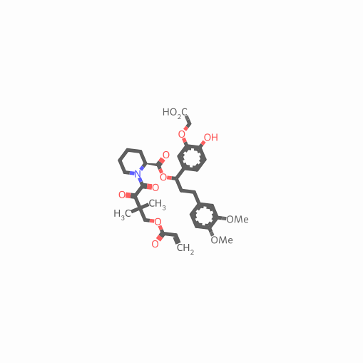 C=CC(=O)OCC(C)(C)C(=O)C(=O)N1CCCC[C@H]1C(=O)OC(CCc1ccc(OC)c(OC)c1)c1ccc(O)c(OCC(=O)O)c1